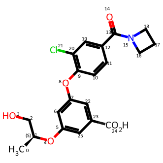 C[C@@H](CO)Oc1cc(Oc2ccc(C(=O)N3CCC3)cc2Cl)cc(C(=O)O)c1